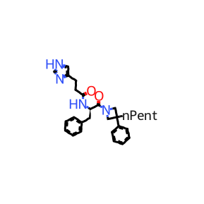 CCCCCC1(c2ccccc2)CN(C(=O)[C@@H](Cc2ccccc2)NC(=O)CCc2c[nH]cn2)C1